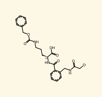 [O]CC(=O)NCc1ccccc1C(=O)N[C@@H](CCCNC(=O)OCc1ccccc1)C(=O)O